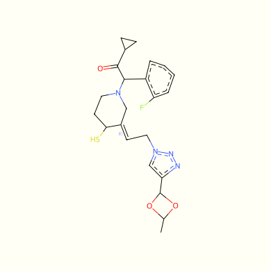 CC1OC(c2cn(C/C=C3\CN(C(C(=O)C4CC4)c4ccccc4F)CCC3S)nn2)O1